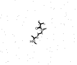 CNC(C)SCCN(C)C(=O)C(C)C